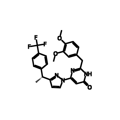 COc1ccc(Cc2nc(-n3ccc([C@H](C)c4ccc(C(F)(F)F)cc4)n3)cc(=O)[nH]2)cc1OC